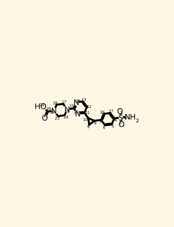 NS(=O)(=O)c1ccc(C2CC2c2ccnc(N3CCN(C(=O)O)CC3)n2)cc1